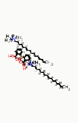 CCCCCCCCCCCCCCCC[N+](C)(C)C.CCCCCCCCCCCCCCCC[N+](C)(C)C.O=C(O)c1ccccc1[S+]([O-])c1ccccc1C(=O)O